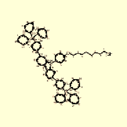 SCCCCCCCCOc1ccc(-n2c3cc(-c4ccc([Si](c5ccccc5)(c5ccccc5)c5ccccc5)cc4)ccc3c3ccc(-c4ccc([Si](c5ccccc5)(c5ccccc5)c5ccccc5)cc4)cc32)cc1